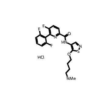 CNCCCCOc1sncc1NC(=O)c1ccc(F)c(-c2c(F)cccc2F)n1.Cl